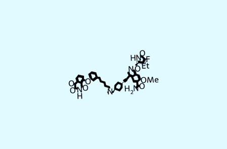 CC[C@@H]1[C@H](F)C(=O)N[C@@H]1COc1ncc(C#C[C@H]2CC[C@H](CN(C)CCCCCc3cccc(Oc4cccc5c4C(=O)NC(=O)C5=O)c3)CC2)c2cc(C(N)=O)c(OC)cc12